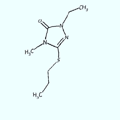 CCCSc1nn(CC)c(=O)n1C